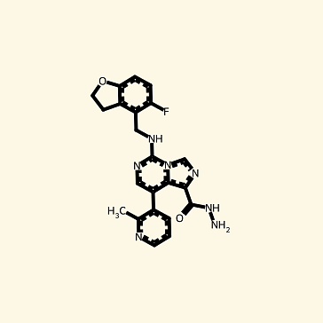 Cc1ncccc1-c1cnc(NCc2c(F)ccc3c2CCO3)n2cnc(C(=O)NN)c12